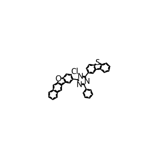 Clc1cc2oc3cc4ccccc4cc3c2cc1-c1nc(-c2ccccc2)nc(-c2ccc3sc4ccccc4c3c2)n1